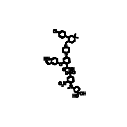 CN(c1ccc(S(=O)(=O)NC(=O)c2ccc(N3CCN(CC4=C(c5ccc(Cl)cc5)CC(C)(C)CC4)CC3)cc2Oc2ccc3[nH]ccc3c2)cc1[N+](=O)[O-])C1CCS(O)(O)C1